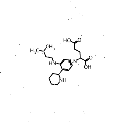 CC(C)CCNc1ccccc1[C@@H]1CCCCN1.N[C@@H](CCC(=O)O)C(=O)O